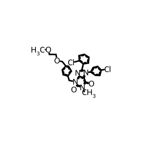 COCCOCc1ccc(Cn2c(=O)n(C)c(=O)c3c2nc(-c2ccccc2Cl)n3-c2ccc(Cl)cc2)cc1